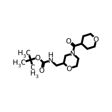 CC(C)(C)OC(=O)NCC1CN(C(=O)C2CCOCC2)CCO1